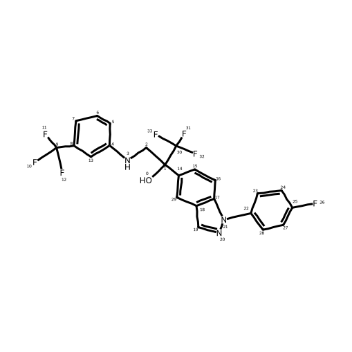 OC(CNc1cccc(C(F)(F)F)c1)(c1ccc2c(cnn2-c2ccc(F)cc2)c1)C(F)(F)F